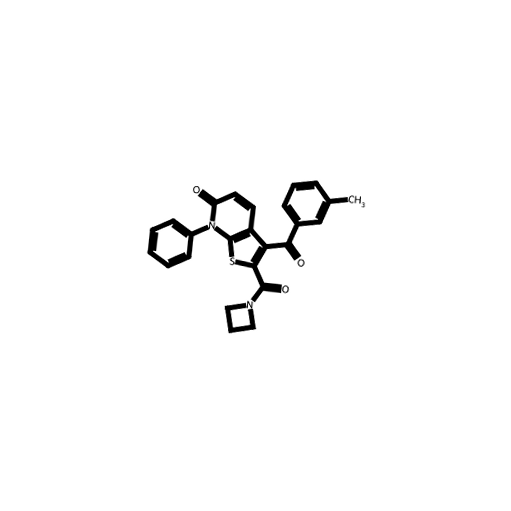 Cc1cccc(C(=O)c2c(C(=O)N3CCC3)sc3c2ccc(=O)n3-c2ccccc2)c1